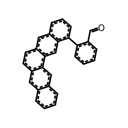 O=Cc1ccccc1-c1cccc2cc3ccc4cc5ccccc5cc4c3cc12